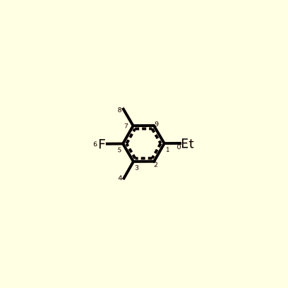 CCc1cc(C)c(F)c(C)c1